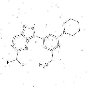 NCc1cc(-c2cnc3ccc(C(F)F)nn23)cc(N2CCCCC2)n1